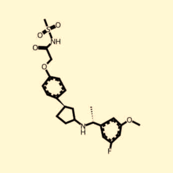 COc1cc(F)cc([C@@H](C)NC2CC[C@@H](c3ccc(OCC(=O)NS(C)(=O)=O)cc3)C2)c1